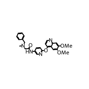 COc1cc2nccc(Oc3ccc(NC(=O)CN(C)Cc4ccccc4)cn3)c2cc1OC